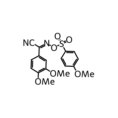 COc1ccc(S(=O)(=O)ON=C(C#N)c2ccc(OC)c(OC)c2)cc1